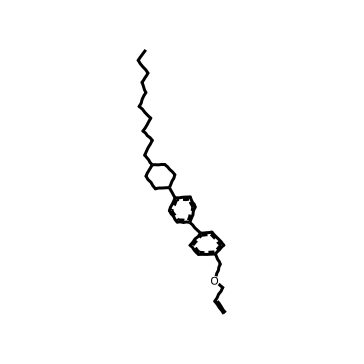 C=CCOCc1ccc(-c2ccc(C3CCC(CCCCCCCCCC)CC3)cc2)cc1